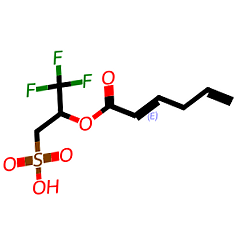 C=CC/C=C/C(=O)OC(CS(=O)(=O)O)C(F)(F)F